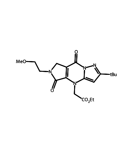 CCOC(=O)Cn1c2c(c(=O)n3nc(C(C)(C)C)cc13)CN(CCOC)C2=O